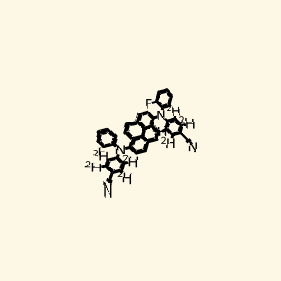 [2H]c1c([2H])c(N(c2ccccc2F)c2ccc3ccc4c(N(c5ccccc5F)c5c([2H])c([2H])c(C#N)c([2H])c5[2H])ccc5ccc2c3c54)c([2H])c([2H])c1C#N